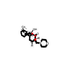 C[C@]12CCCC3(C(=O)OC1)C2C[C@@H](O)[C@@]12CC[C@@H](CC31)[C@H](CN1CCOCC1)C2=O